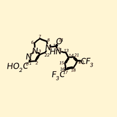 O=C(O)c1cc2n(n1)CCCN(C(=O)NCc1cc(C(F)(F)F)cc(C(F)(F)F)c1)C2